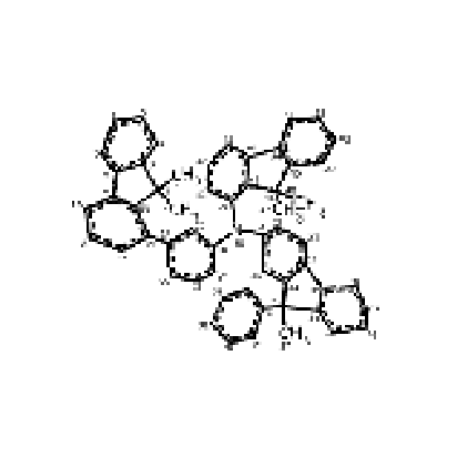 CC1(C)c2ccccc2-c2cccc(-c3cccc(N(c4ccc5c(c4)C(C)(c4ccccc4)c4ccccc4-5)c4cccc5c4C(C)(C)c4ccccc4-5)c3)c21